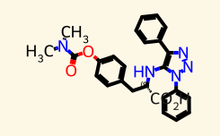 CN(C)C(=O)Oc1ccc(C[C@H](Nc2c(-c3ccccc3)nnn2-c2ccccc2)C(=O)O)cc1